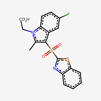 Cc1c(S(=O)(=O)c2nc3ccccc3s2)c2cc(F)ccc2n1CC(=O)O